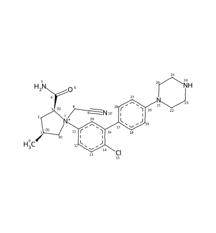 C[C@H]1C[C@@H](C(N)=O)[N+](CC#N)(c2ccc(Cl)c(-c3ccc(N4CCNCC4)cc3)c2)C1